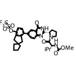 COC(=O)N[C@@H](C(=O)N1CCC[C@H]1c1nc2ccc(-c3ccc(OS(=O)(=O)C(F)(F)F)c4c3CC3(CCCC3)C4)cc2c(=O)[nH]1)C(C)C